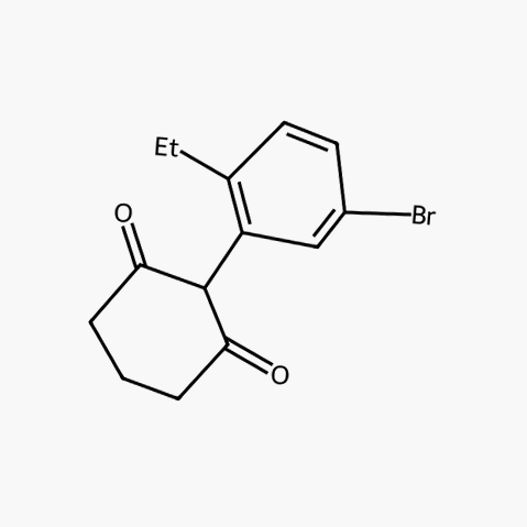 CCc1ccc(Br)cc1C1C(=O)CCCC1=O